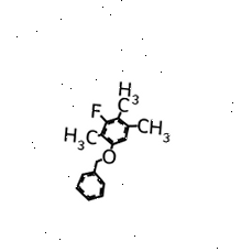 Cc1cc(OCc2ccccc2)c(C)c(F)c1C